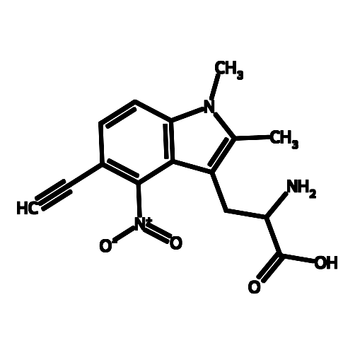 C#Cc1ccc2c(c(CC(N)C(=O)O)c(C)n2C)c1[N+](=O)[O-]